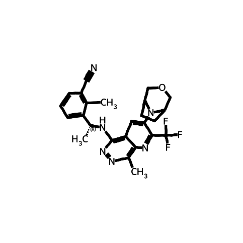 Cc1c(C#N)cccc1[C@@H](C)Nc1nnc(C)c2nc(C(F)(F)F)c(N3C4CCC3COC4)cc12